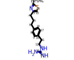 CC(=O)Nc1nc(CCCc2ccc(CCNC(=N)N)cc2)cs1